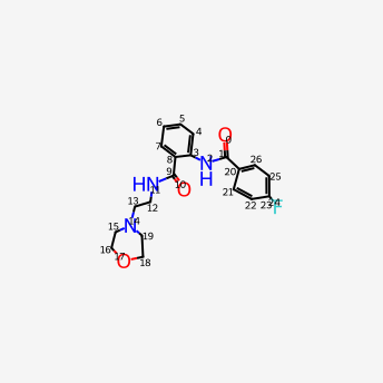 O=C(Nc1ccccc1C(=O)NCCN1CCOCC1)c1ccc(F)cc1